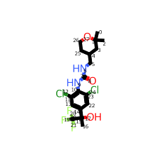 CC1(C)CC(CNC(=O)Nc2c(Cl)cc(C(C)(O)C(F)(F)F)cc2Cl)CCO1